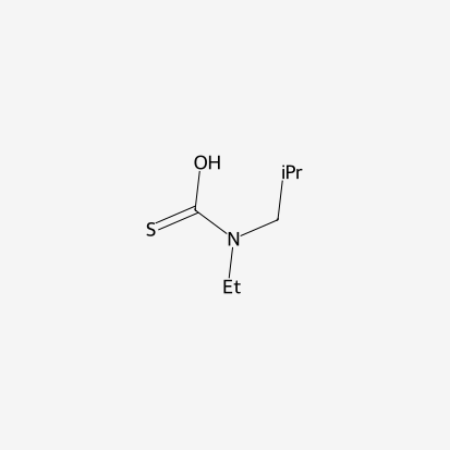 CCN(CC(C)C)C(O)=S